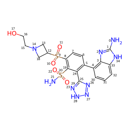 Nc1nc2c(-c3ccc(S(=O)(=O)C4CN(CCO)C4)c(S(N)(=O)=O)c3-c3nn[nH]n3)cccc2[nH]1